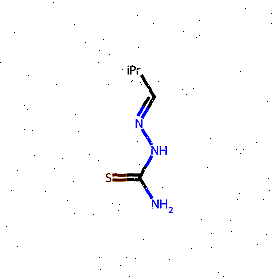 CC(C)C=NNC(N)=S